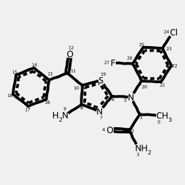 CC(C(N)=O)N(c1nc(N)c(C(=O)c2ccccc2)s1)c1ccc(Cl)cc1F